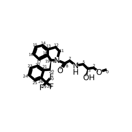 COC[C@@H](O)CNCC(=O)N1CCc2ccccc2[C@@H]1Cc1ccccc1C(F)(F)F